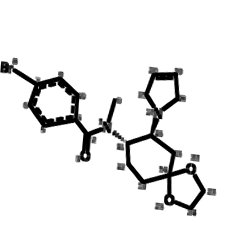 CN(C(=O)c1ccc(Br)cc1)[C@H]1CCC2(C[C@@H]1N1CC=CC1)OCCO2